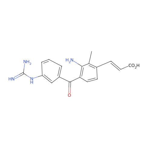 Cc1c(C=CC(=O)O)ccc(C(=O)c2cccc(NC(=N)N)c2)c1N